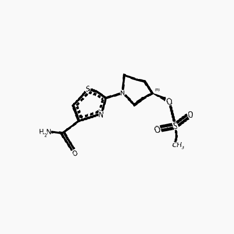 CS(=O)(=O)O[C@@H]1CCN(c2nc(C(N)=O)cs2)C1